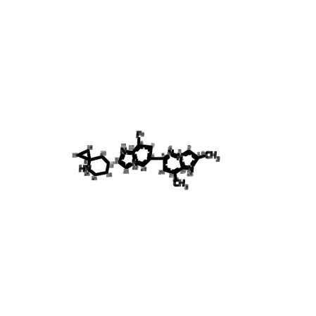 Cc1cn2nc(-c3cc(F)c4nc([C@@H]5CCNC6(CC6)C5)cn4c3)cc(C)c2n1